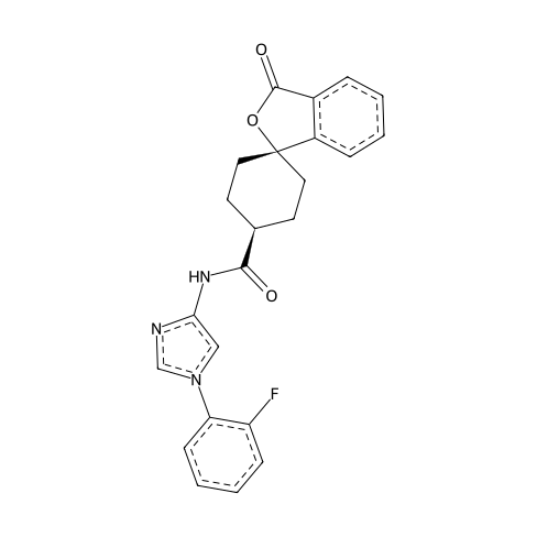 O=C1O[C@]2(CC[C@H](C(=O)Nc3cn(-c4ccccc4F)cn3)CC2)c2ccccc21